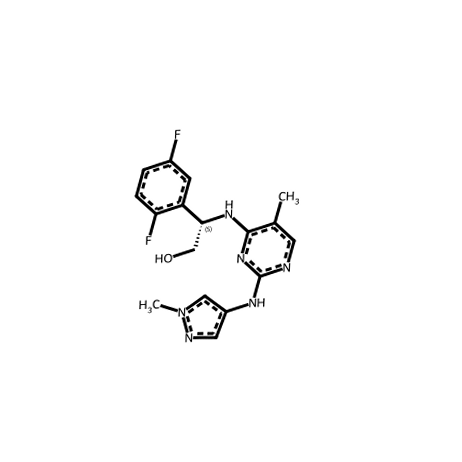 Cc1cnc(Nc2cnn(C)c2)nc1N[C@H](CO)c1cc(F)ccc1F